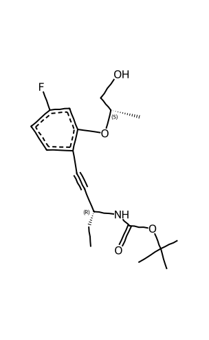 CC[C@H](C#Cc1ccc(F)cc1O[C@@H](C)CO)NC(=O)OC(C)(C)C